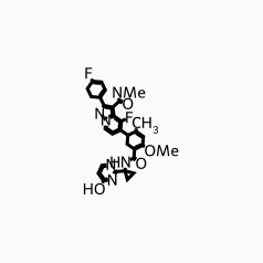 CNC(=O)c1c(C2=CC=C(F)CC2)nn2ccc(C3CC(C(=O)NC4(c5nccc(O)n5)CC4)=C(OC)C=C3C)c(F)c12